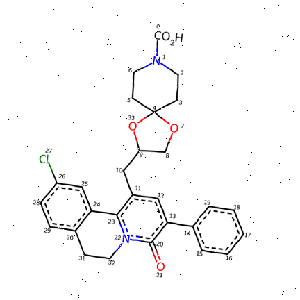 O=C(O)N1CCC2(CC1)OCC(Cc1cc(-c3ccccc3)c(=O)n3c1-c1cc(Cl)ccc1CC3)O2